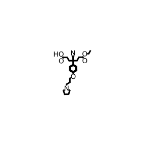 CCOC(=O)CCC(C#N)(CCC(=O)O)c1ccc(OCCCN2CCCC2)cc1